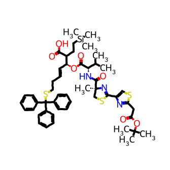 CC(C)[C@H](NC(=O)[C@]1(C)CSC(c2csc(CC(=O)OC(C)(C)C)n2)=N1)C(=O)O[C@@H](C=CCCSC(c1ccccc1)(c1ccccc1)c1ccccc1)C(CC[Si](C)(C)C)C(=O)O